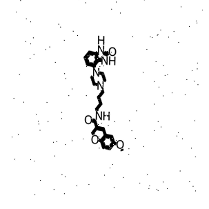 COc1ccc2c(c1)C=C(C(=O)NCCCCN1CCN(c3cccc4[nH]c(=O)[nH]c34)CC1)CO2